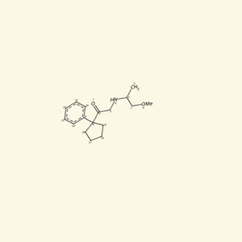 COCC(C)NCC(=O)C1(c2ccccc2)CCCC1